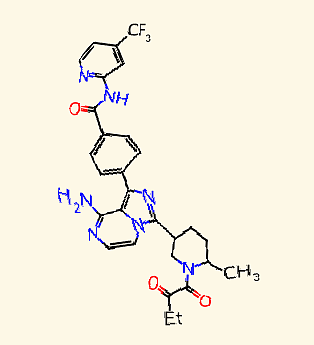 CCC(=O)C(=O)N1CC(c2nc(-c3ccc(C(=O)Nc4cc(C(F)(F)F)ccn4)cc3)c3c(N)nccn23)CCC1C